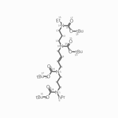 CCCN(CCCN(CC=CCN(CCCN(CC)C(=O)OC(C)(C)C)C(=O)OC(C)(C)C)C(=O)OC(C)(C)C)C(=O)OC(C)(C)C